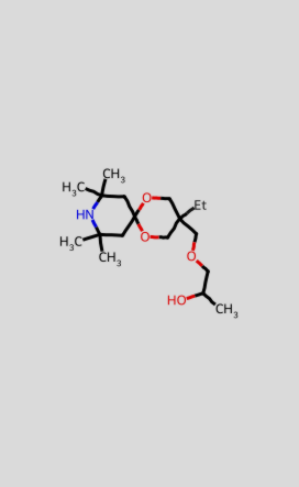 CCC1(COCC(C)O)COC2(CC(C)(C)NC(C)(C)C2)OC1